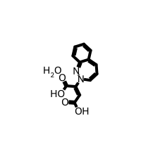 O.O=C(O)/C=C(\C(=O)O)N1C=CC=c2ccccc2=N1